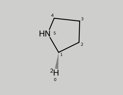 [2H][C@H]1CCCN1